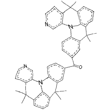 CC1(C)c2ccncc2N2c3ccc(C(=O)c4ccc5c(c4)C(C)(C)c4cccc6c4N5c4cnccc4C6(C)C)cc3C(C)(C)c3cccc1c32